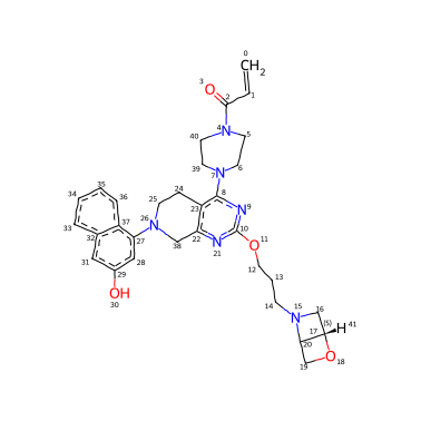 C=CC(=O)N1CCN(c2nc(OCCCN3C[C@@H]4OCC43)nc3c2CCN(c2cc(O)cc4ccccc24)C3)CC1